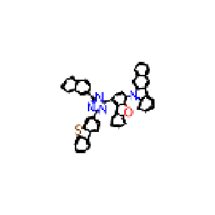 c1ccc2cc(-c3nc(-c4ccc5c(c4)sc4ccccc45)nc(-c4ccc(-n5c6ccccc6c6cc7ccccc7cc65)c5oc6ccccc6c45)n3)ccc2c1